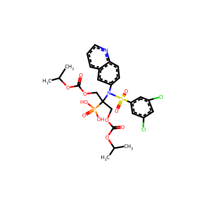 CC(C)OC(=O)OCC(COC(=O)OC(C)C)(N(c1ccc2ncccc2c1)S(=O)(=O)c1cc(Cl)cc(Cl)c1)P(=O)(O)O